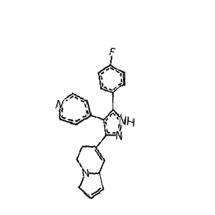 Fc1ccc(-c2[nH]nc(C3=CC4C=CCN4CC3)c2-c2ccncc2)cc1